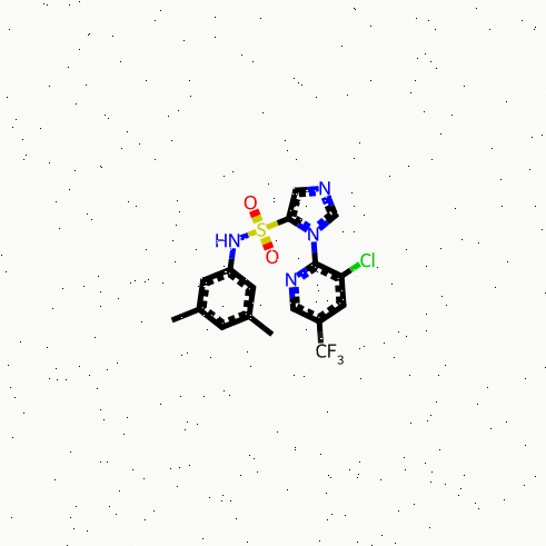 Cc1cc(C)cc(NS(=O)(=O)c2cncn2-c2ncc(C(F)(F)F)cc2Cl)c1